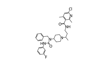 Cc1cc(Cl)nc(C)c1C(=O)NCCC(C)N1CCC(N(Cc2ccccc2)C(=O)Nc2cccc(F)c2)CC1